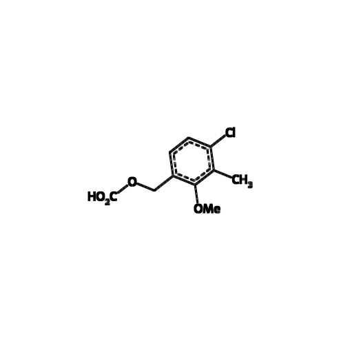 COc1c(COC(=O)O)ccc(Cl)c1C